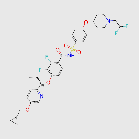 CC[C@@H](Oc1ccc(C(=O)NS(=O)(=O)c2ccc(OC3CCN(CC(F)F)CC3)cc2)c(F)c1F)c1ccc(OCC2CC2)cn1